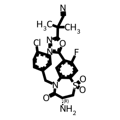 CC(C)(C#N)c1nnc(-c2cc3c(cc2F)S(=O)(=O)C[C@H](N)C(=O)N3Cc2ccc(Cl)cc2)o1